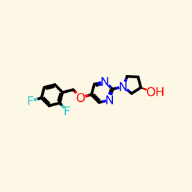 O[C@@H]1CCN(c2ncc(OCc3ccc(F)cc3F)cn2)C1